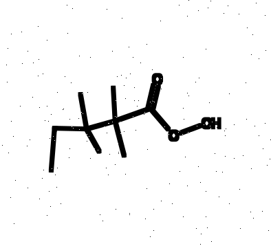 CCC(C)(C)C(C)(C)C(=O)OO